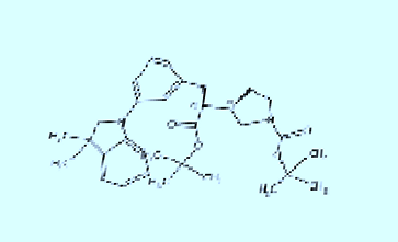 CC(C)(C)OC(=O)[C@@H](Cc1cccc(N2CC(C)(C)c3ccccc32)c1)[C@H]1CCN(C(=O)OC(C)(C)C)C1